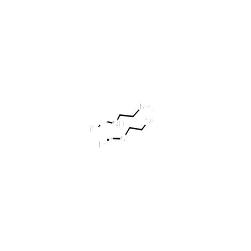 CCONCCN.CCONCCN